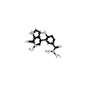 COc1ccc(C(=O)N(C)C)cc1-c1cn(C)c(=O)c2[nH]ccc12